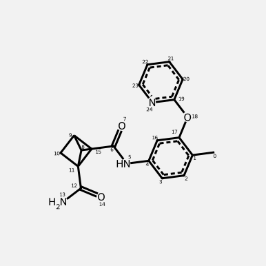 Cc1ccc(NC(=O)C2C3CC2(C(N)=O)C3)cc1Oc1ccccn1